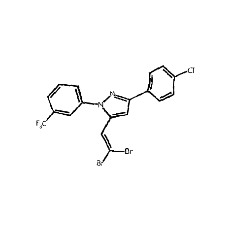 FC(F)(F)c1cccc(-n2nc(-c3ccc(Cl)cc3)cc2C=C(Br)Br)c1